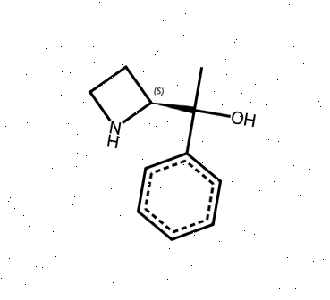 CC(O)(c1ccccc1)[C@@H]1CCN1